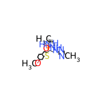 COc1ccc2cc(C(CNc3cnc(C)cn3)P3(=O)NCC[C@@H](C)N3)sc2c1